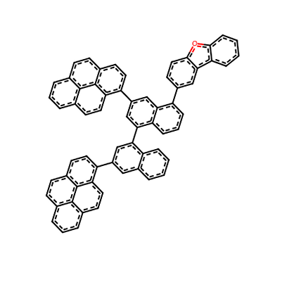 c1ccc2c(-c3cc(-c4ccc5ccc6cccc7ccc4c5c67)cc4c(-c5ccc6oc7ccccc7c6c5)cccc34)cc(-c3ccc4ccc5cccc6ccc3c4c56)cc2c1